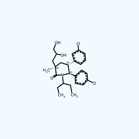 CCC(CC)N1C(=O)[C@@](C)(CC(O)CO)C[C@H](c2cccc(Cl)c2)[C@H]1c1ccc(Cl)cc1